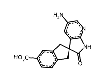 Nc1cnc2c(c1)[C@]1(Cc3ccc(C(=O)O)cc3C1)C(=O)N2